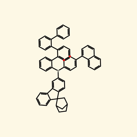 c1ccc(-c2ccccc2-c2ccccc2-c2ccccc2N(c2ccc(-c3cccc4ccccc34)cc2)c2ccc3c(c2)-c2ccccc2C32CC3CCC2C3)cc1